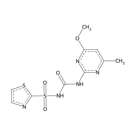 COc1cc(C)nc(NC(=O)NS(=O)(=O)c2nccs2)n1